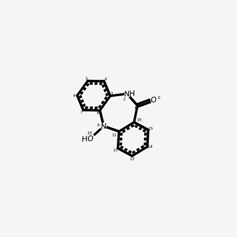 O=C1Nc2ccccc2N(O)c2ccccc21